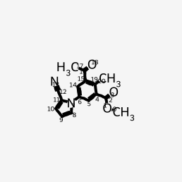 COC(=O)c1cc(-n2cccc2C#N)cc(C(C)=O)c1C